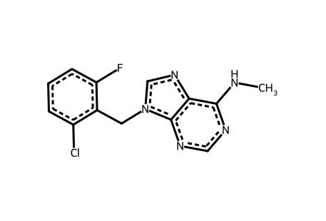 CNc1ncnc2c1ncn2Cc1c(F)cccc1Cl